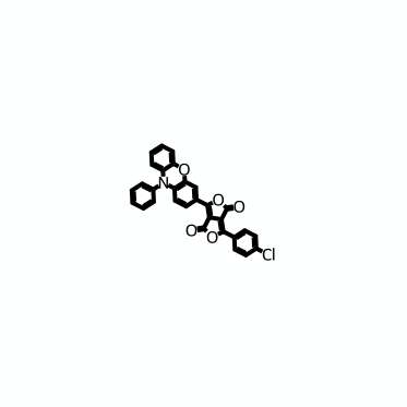 O=C1OC(c2ccc3c(c2)Oc2ccccc2N3c2ccccc2)=C2C(=O)OC(c3ccc(Cl)cc3)=C12